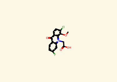 COc1c(Cl)ccc2c(=O)c3ccc(F)cc3n(CC(=O)O)c12